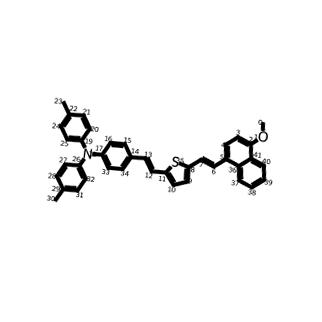 COc1ccc(C=Cc2ccc(C=Cc3ccc(N(c4ccc(C)cc4)c4ccc(C)cc4)cc3)s2)c2ccccc12